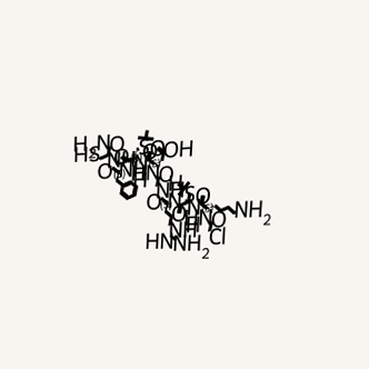 CC(C)(C)SC[C@H](NC(=O)[C@H](CC(=O)O)NC(=O)CNC(=O)[C@H](CCCNC(=N)N)NC(=O)C(NC(=O)[C@H](CCCCN)NC(=O)CCl)SC(C)(C)C)C(=O)N[C@@H](Cc1ccccc1)C(=O)NC(CS)C(N)=O